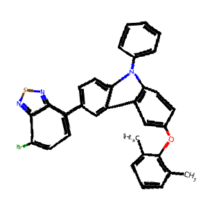 Cc1cccc(C)c1Oc1ccc2c(c1)c1cc(-c3ccc(Br)c4nsnc34)ccc1n2-c1ccccc1